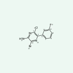 Nc1nc(Cl)c(-c2cccc(F)c2)nc1Br